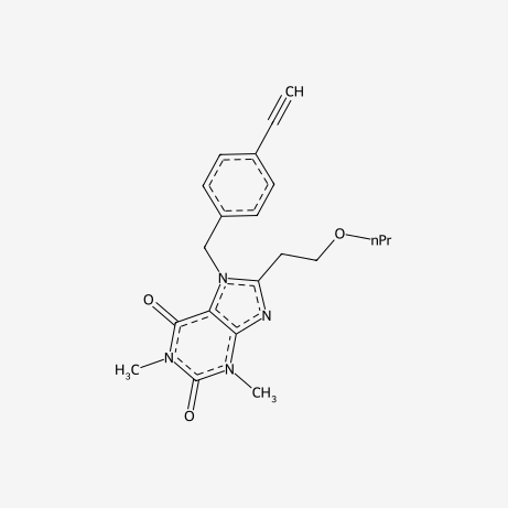 C#Cc1ccc(Cn2c(CCOCCC)nc3c2c(=O)n(C)c(=O)n3C)cc1